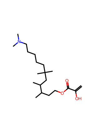 C=C(O)C(=O)OCCC(C)C(C)CC(C)(C)CCCCCN(C)C